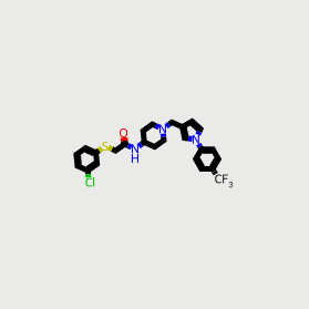 O=C(CSc1cccc(Cl)c1)NC1CCN(Cc2ccn(-c3ccc(C(F)(F)F)cc3)c2)CC1